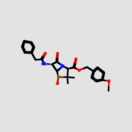 COc1ccc(COC(=O)[C@@H]2N3C(=O)[C@@H](NC(=O)Cc4ccccc4)C3[S+]([O-])C2(C)C)cc1